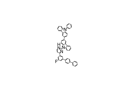 Fc1cc(C2=NC(n3c4ccccc4c4cc(-c5ccc6c(c5)c5ccccc5n6-c5ccccc5)ccc43)NC=C2)cc(-c2ccc(-c3ccccc3)cc2)c1